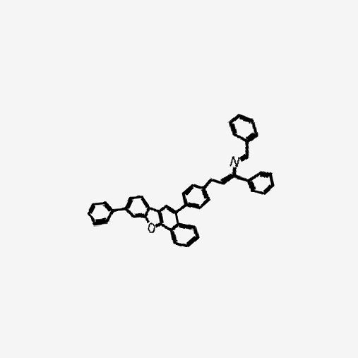 C(/Cc1ccc(-c2cc3c4ccc(-c5ccccc5)cc4oc3c3ccccc23)cc1)=C(/N=C/c1ccccc1)c1ccccc1